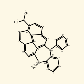 CC(C)c1ccc2cc3c4c(ccc5ccc1c2c54)N(C)c1ccccc1B3c1ccccc1